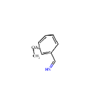 COC(C)=O.N=Cc1ccccc1